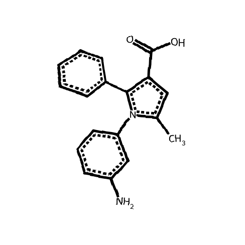 Cc1cc(C(=O)O)c(-c2ccccc2)n1-c1cccc(N)c1